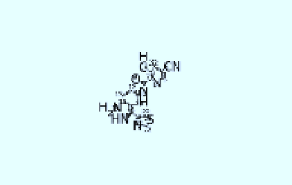 Cc1cc(C#N)cnc1C(=O)Nc1ccc(N)c(C(=N)c2cscn2)c1